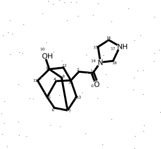 O=C(CC12CC3CC(CC(O)(C3)C1)C2)N1CCNC1